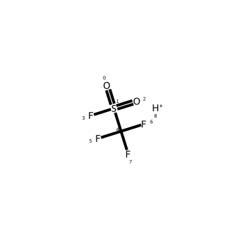 O=S(=O)(F)C(F)(F)F.[H+]